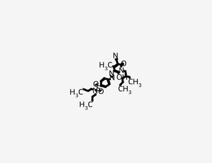 CCCCC(CC)Cn1c(O)c(/N=N/c2ccc(S(=O)(=O)N(CCCC)CCCC)cc2)c(C)c(C#N)c1=O